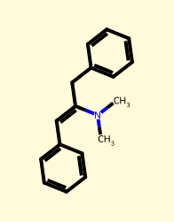 CN(C)C(=Cc1ccccc1)Cc1ccccc1